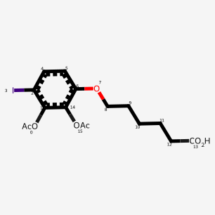 CC(=O)Oc1c(I)ccc(OCCCCCC(=O)O)c1OC(C)=O